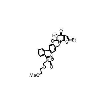 CCc1cc2c(=O)[nH]c(=O)n(Cc3ccc(-c4ccccc4-c4noc(=O)n4COCCOC)cc3)c2s1